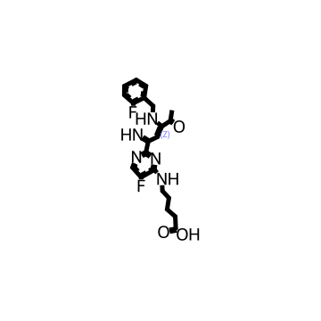 CC(=O)/C(=C/C(=N)c1ncc(F)c(NCCCCC(=O)O)n1)NCc1ccccc1F